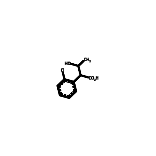 CC(O)C(C(=O)O)c1ccccc1Cl